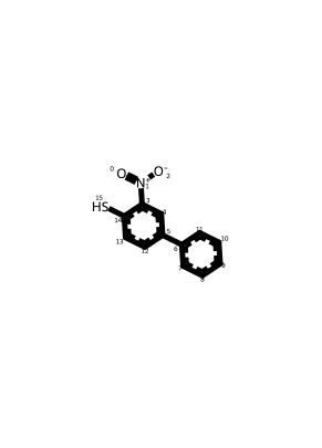 O=[N+]([O-])c1cc(-c2ccccc2)ccc1S